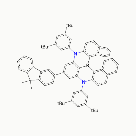 CC(C)(C)c1cc(N2c3cc(-c4ccc5c(c4)-c4ccccc4C5(C)C)cc4c3B(c3c2ccc2ccccc32)c2c(ccc3ccccc23)N4c2cc(C(C)(C)C)cc(C(C)(C)C)c2)cc(C(C)(C)C)c1